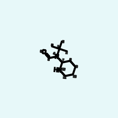 CC(C)(C)N(C=O)C1CCCCN1